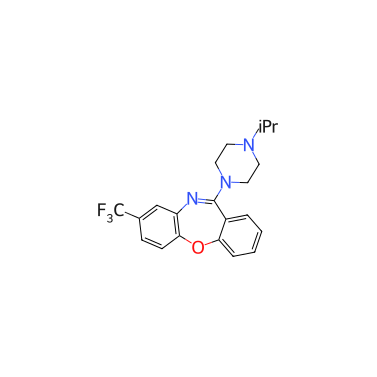 CC(C)N1CCN(C2=Nc3cc(C(F)(F)F)ccc3Oc3ccccc32)CC1